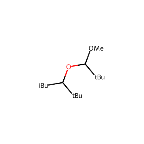 CCC(C)C(OC(OC)C(C)(C)C)C(C)(C)C